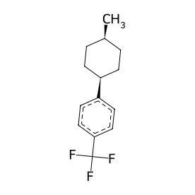 C[C@H]1CC[C@@H](c2ccc(C(F)(F)F)cc2)CC1